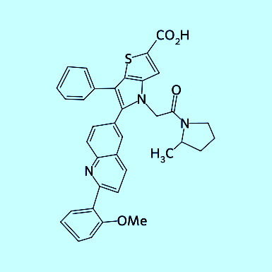 COc1ccccc1-c1ccc2cc(-c3c(-c4ccccc4)c4sc(C(=O)O)cc4n3CC(=O)N3CCCC3C)ccc2n1